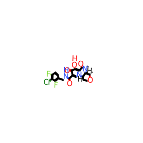 C[C@@H]1OCC[C@H]2[C@@H]1N(C)C(=O)c1c(O)c(=O)c(C(=O)NCc3ccc(F)c(Cl)c3F)cn12